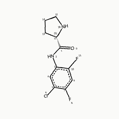 O=C(Nc1cc(Cl)c(F)cc1F)[C@@H]1CCCN1